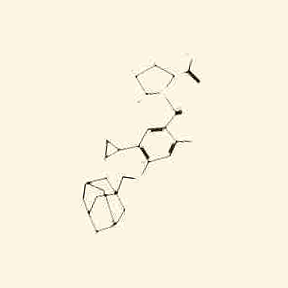 C[C@H]1[C@H](F)C[C@@H](C(=O)O)N1C(=O)c1cc(C2CC2)c(OCC23CC4CC(CC(C4)C2)C3)cc1F